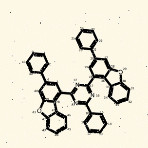 c1ccc(-c2cc(-c3nc(-c4ccccc4)nc(-c4cc(-c5ccccc5)cc5oc6ccccc6c45)n3)c3c(c2)oc2ccccc23)cc1